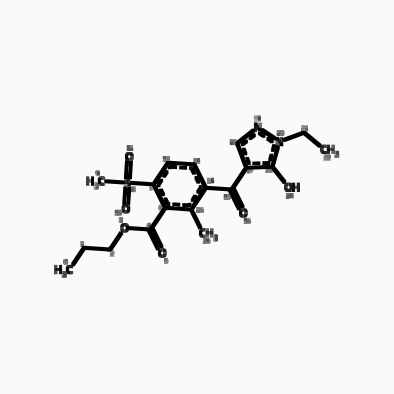 CCCOC(=O)c1c(S(C)(=O)=O)ccc(C(=O)c2cnn(CC)c2O)c1C